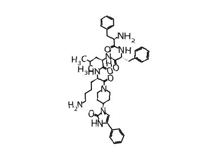 CC(C)C[C@@H](NC(=O)[C@@H](Cc1ccccc1)NC(=O)[C@H](N)Cc1ccccc1)C(=O)N[C@H](CCCCN)C(=O)N1CCC(n2cc(-c3ccccc3)[nH]c2=O)CC1